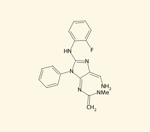 C=C(/N=C1\C(=C/N)N=C(Nc2ccccc2F)N1c1ccccc1)NC